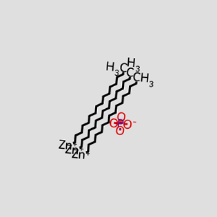 CCCCCCCCCCCCCCC[CH2][Zn+].CCCCCCCCCCCCCCC[CH2][Zn+].CCCCCCCCCCCCCCC[CH2][Zn+].O=P([O-])([O-])[O-]